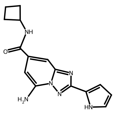 Nc1cc(C(=O)NC2CCC2)cc2nc(-c3ccc[nH]3)nn12